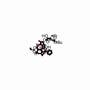 C=C[C@@H]1O[C@H]2CC3CC[C@@]3(OC(C)=O)[C@H]3[C@H](OC(=O)c4ccccc4)[C@]4(C(C)(C)O)C[C@H](OC(=O)[C@H](O)[C@H](CC(C)C)NC(=O)OC(C)(C)C)C(C)=C4[C@H](C)[C@H](O1)[C@]23C